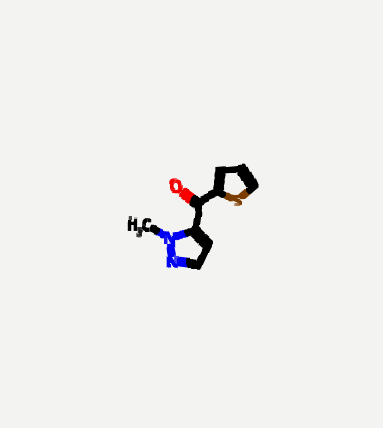 Cn1nccc1C(=O)c1cccs1